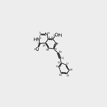 O=c1[nH]cnc2c(O)cc(C#Cc3ccccc3)cc12